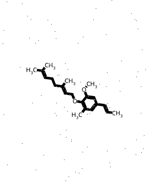 C/C=C/c1cc(C)c(OC/C=C(\C)CCC=C(C)C)c(OC)c1